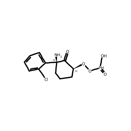 N[C@]1(c2ccccc2Cl)CCC[C@H](OO[PH](=O)O)C1=O